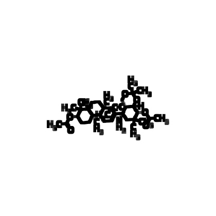 CC(=O)O[C@H]1CC[C@]2(C)C3CC=C4[C@]5(N)CC(C)(C)[C@@H](OC(C)=O)[C@@H]6OC(C)(C)OC[C@]65CC[C@@]4(C)[C@]3(C)CC[C@H]2C1(C)C